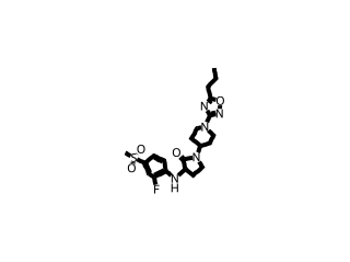 CCCc1nc(N2CCC(N3CCC(Nc4ccc(S(C)(=O)=O)cc4F)C3=O)CC2)no1